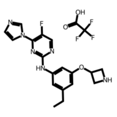 CCc1cc(Nc2ncc(F)c(-n3ccnc3)n2)cc(OC2CNC2)c1.O=C(O)C(F)(F)F